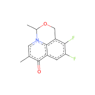 Cc1cn2c3c(c(F)c(F)cc3c1=O)COC2C